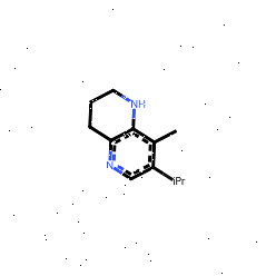 Cc1c(C(C)C)cnc2c1NCCC2